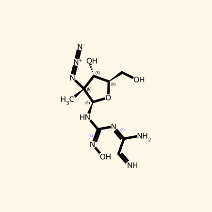 C[C@]1(N=[N+]=[N-])[C@H](NC(=N/O)/N=C(/N)C=N)O[C@H](CO)[C@H]1O